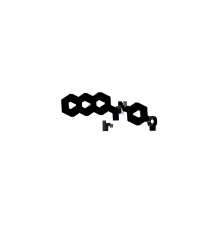 COc1ccc(/N=C(\C)c2ccc3cc4ccccc4cc3c2)cc1.[Ir]